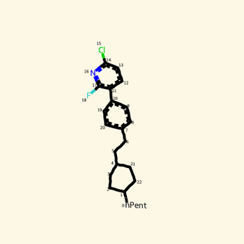 CCCCCC1CCC(CCc2ccc(-c3ccc(Cl)nc3F)cc2)CC1